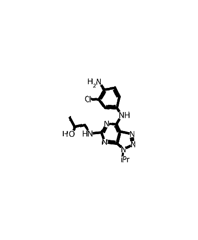 CC(O)CNc1nc(Nc2ccc(N)c(Cl)c2)c2nnn(C(C)C)c2n1